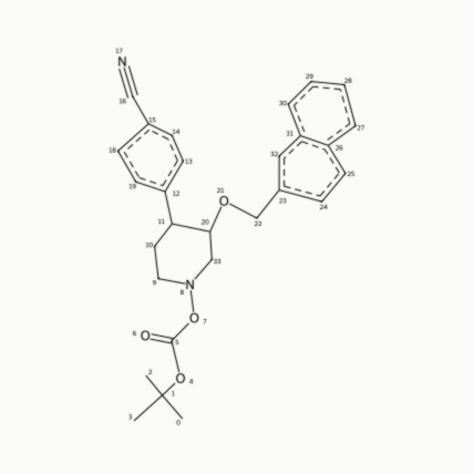 CC(C)(C)OC(=O)ON1CCC(c2ccc(C#N)cc2)C(OCc2ccc3ccccc3c2)C1